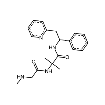 CNCC(=O)NC(C)(C)C(=O)NC(Cc1ccccn1)c1ccccc1